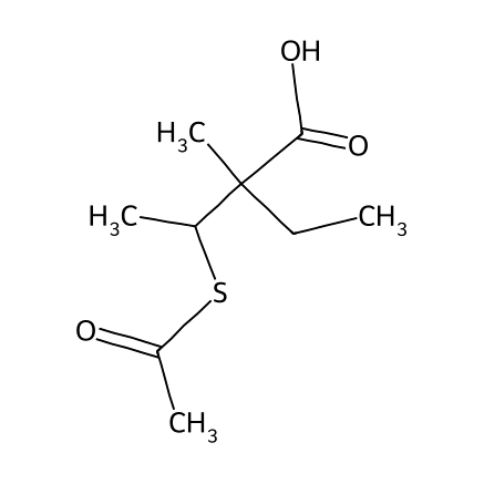 CCC(C)(C(=O)O)C(C)SC(C)=O